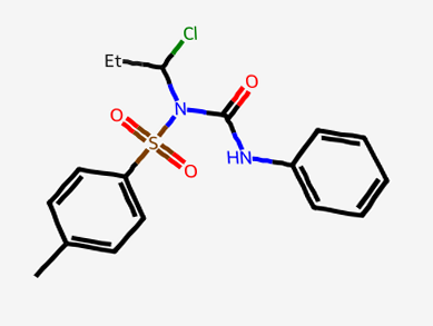 CCC(Cl)N(C(=O)Nc1ccccc1)S(=O)(=O)c1ccc(C)cc1